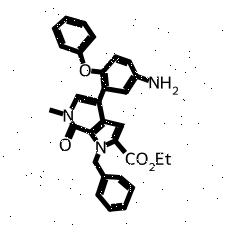 CCOC(=O)c1cc2c(-c3cc(N)ccc3Oc3ccccc3)cn(C)c(=O)c2n1Cc1ccccc1